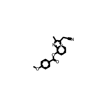 COc1ccc(C(=O)Oc2cccn3c(CC#N)c(C)nc23)cc1